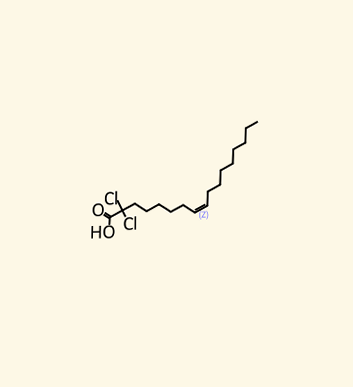 CCCCCCCC/C=C\CCCCCC(Cl)(Cl)C(=O)O